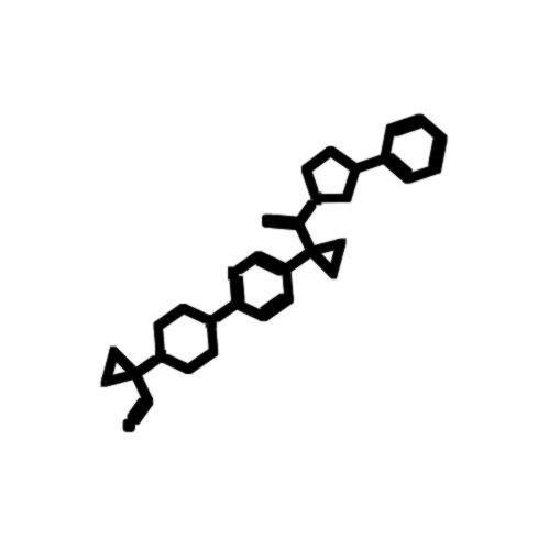 O=CC1(N2CCN(c3ccc(C4(C(=O)N5CCC(c6ccccc6)C5)CC4)cn3)CC2)CC1